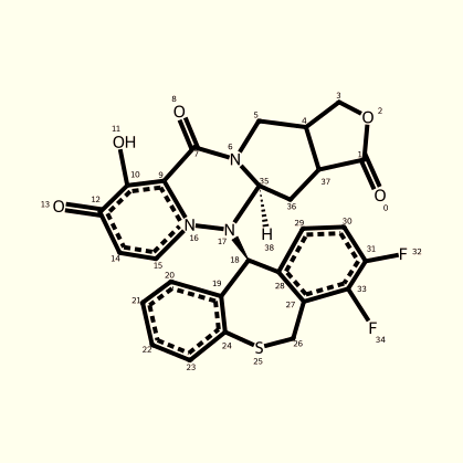 O=C1OCC2CN3C(=O)c4c(O)c(=O)ccn4N([C@@H]4c5ccccc5SCc5c4ccc(F)c5F)[C@@H]3CC12